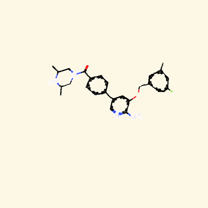 CC1CN(C(=O)c2ccc(-c3cnc(N)c(OCc4cc(F)cc(C(F)(F)F)c4)c3)cc2)CC(C)N1